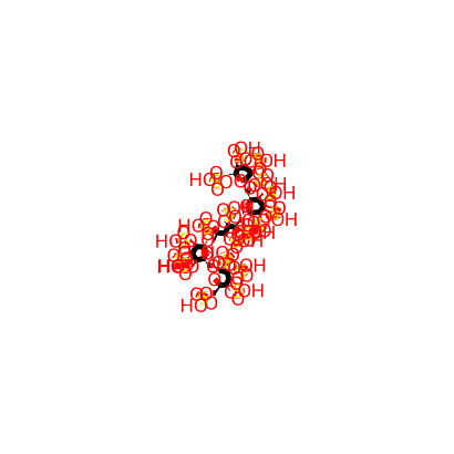 O=S(=O)(O)OC[C@H]1O[C@@H](OC[C@H]2O[C@@H](OC[C@@H](OS(=O)(=O)O)[C@@H](OS(=O)(=O)O)[C@H](OS(=O)(=O)O)[C@@H](CO[C@@H]3O[C@H](CO[C@@H]4O[C@H](COS(=O)(=O)O)[C@@H](OS(=O)(=O)O)[C@H](OS(=O)(=O)O)[C@H]4OS(=O)(=O)O)[C@@H](OS(=O)(=O)O)[C@H](OS(=O)(=O)O)[C@H]3OS(=O)(=O)O)OS(=O)(=O)O)[C@H](OS(=O)(=O)O)[C@@H](OS(=O)(=O)O)[C@@H]2OS(=O)(=O)O)[C@H](OS(=O)(=O)O)[C@@H](OS(=O)(=O)O)[C@@H]1OS(=O)(=O)O